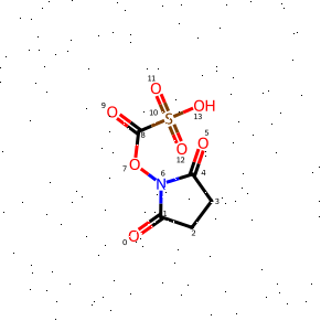 O=C1CCC(=O)N1OC(=O)S(=O)(=O)O